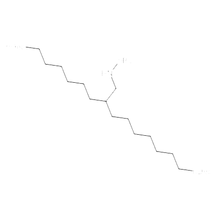 CCCCCCCCCCCCCCCCCC(CCCCCCCCCCCCCCCC)CNCCCC